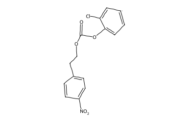 O=C(OCCc1ccc([N+](=O)[O-])cc1)Oc1cc[c]cc1Cl